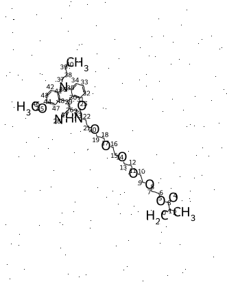 C=C(C)C(=O)OCCOCCOCCOCCOCCOCCNC(=O)C(C#N)=C1c2ccccc2N(CCCC)c2ccc(OC)cc21